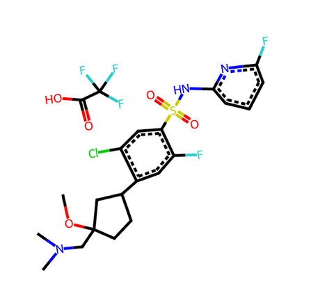 COC1(CN(C)C)CCC(c2cc(F)c(S(=O)(=O)Nc3cccc(F)n3)cc2Cl)C1.O=C(O)C(F)(F)F